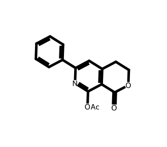 CC(=O)Oc1nc(-c2ccccc2)cc2c1C(=O)OCC2